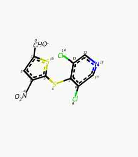 O=[C]c1cc([N+](=O)[O-])c(Sc2c(Cl)cncc2Cl)s1